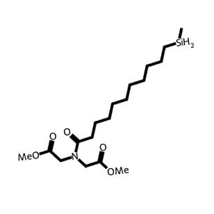 COC(=O)CN(CC(=O)OC)C(=O)CCCCCCCCCC[SiH2]C